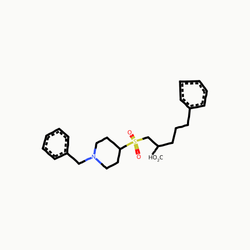 O=C(O)C(CCCc1ccccc1)CS(=O)(=O)C1CCN(Cc2ccccc2)CC1